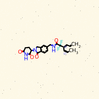 C=C/C=C(\C=C/C)C(F)(F)C(=O)NCc1ccc2c(c1)CN(C1CCC(=O)NC1=O)C2=O